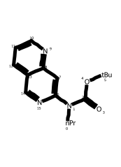 CCCN(C(=O)OC(C)(C)C)c1cc2ncccc2cn1